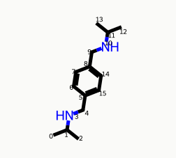 CC(C)NCc1ccc(CNC(C)C)cc1